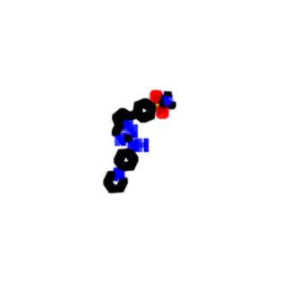 CN(C)S(=O)(=O)c1ccc(-c2ccc3cnc(Nc4ccc(N5CCCCC5)cc4)nn23)cc1